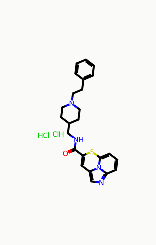 Cl.Cl.O=C(NCC1CCN(CCc2ccccc2)CC1)C1=Cc2cnc3cccc(n23)S1